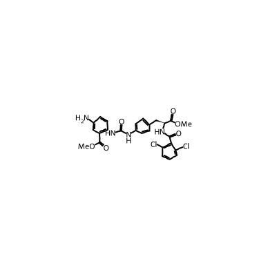 COC(=O)c1cc(N)ccc1NC(=O)Nc1ccc(C[C@H](NC(=O)c2c(Cl)cccc2Cl)C(=O)OC)cc1